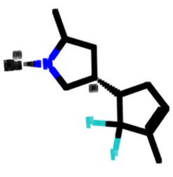 CC[C@@H](C)N1C[C@@H](C2CC=C(C)C2(F)F)CC1C